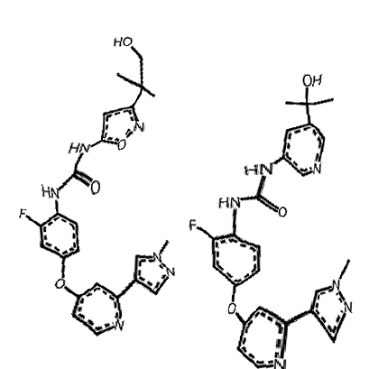 Cn1cc(-c2cc(Oc3ccc(NC(=O)Nc4cc(C(C)(C)CO)no4)c(F)c3)ccn2)cn1.Cn1cc(-c2cc(Oc3ccc(NC(=O)Nc4cncc(C(C)(C)O)c4)c(F)c3)ccn2)cn1